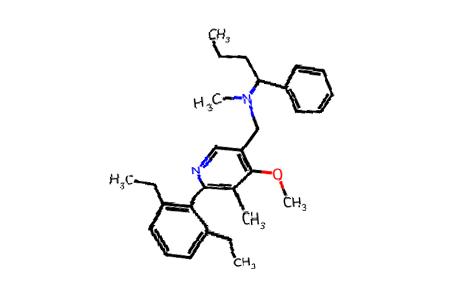 CCCC(c1ccccc1)N(C)Cc1cnc(-c2c(CC)cccc2CC)c(C)c1OC